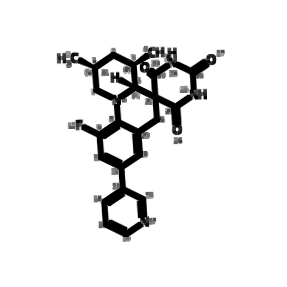 C[C@H]1C[C@@H](C)[C@H]2N(C1)c1c(F)cc(-c3cccnc3)cc1CC21C(=O)NC(=O)NC1=O